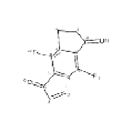 O=C1C=Cc2c(F)c3c(c(F)c21)CCC3=O